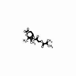 C=C(C)C(=O)OCC(=O)OC1C2CS(=O)(=O)OC1(C)C(C)O2